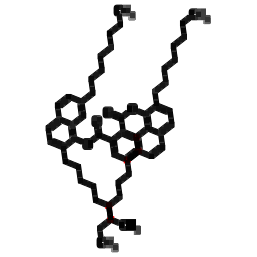 CCCCCCCCc1ccc2ccc(CCCCCCCC)c(OC(=O)c3ccccc3C(=O)Oc3c(CCCCCCCC)ccc4ccc(CCCCCCCC)cc34)c2c1